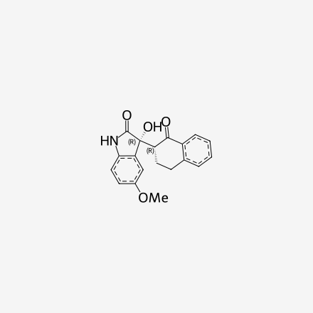 COc1ccc2c(c1)[C@](O)([C@H]1CCc3ccccc3C1=O)C(=O)N2